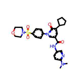 CN(C)c1ccc(NC(=O)c2cc(C3CCCC3)c(=O)n(-c3ccc(S(=O)(=O)N4CCOCC4)cc3)c2)cn1